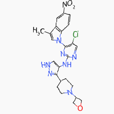 Cc1cn(-c2nc(Nc3c[nH]nc3C3CCN(C4COC4)CC3)ncc2Cl)c2ccc([N+](=O)[O-])cc12